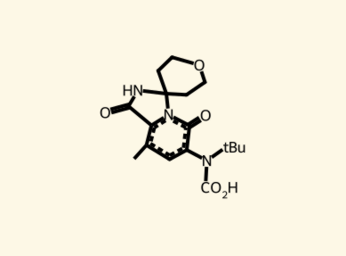 Cc1cc(N(C(=O)O)C(C)(C)C)c(=O)n2c1C(=O)NC21CCOCC1